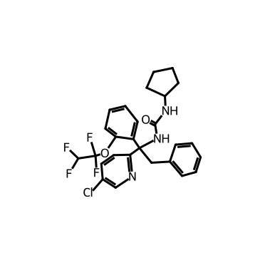 O=C(NC1CCCC1)NC(Cc1ccccc1)(c1ccc(Cl)cn1)c1ccccc1OC(F)(F)C(F)F